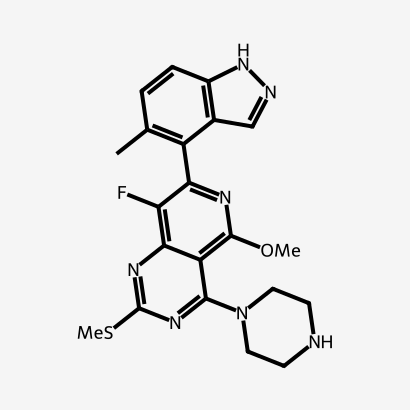 COc1nc(-c2c(C)ccc3[nH]ncc23)c(F)c2nc(SC)nc(N3CCNCC3)c12